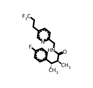 C[C@H](C(=O)NCc1ccc(CCC(F)(F)F)cn1)[C@H](C)c1ccc(F)cc1